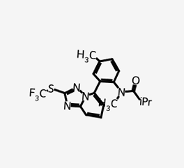 Cc1ccc(N(C)C(=O)C(C)C)c(-c2cccc3nc(SC(F)(F)F)nn23)c1